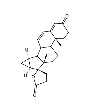 C[C@]12CCC(=O)C=C1C=CC1C2CC[C@@]2(C)C1[C@@H]1C[C@@H]1[C@]21CCC(=O)O1